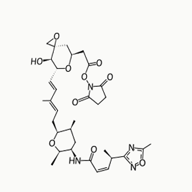 CC(/C=C/[C@H]1O[C@H](CC(=O)ON2C(=O)CCC2=O)C[C@@]2(CO2)[C@@H]1O)=C\C[C@@H]1O[C@H](C)[C@H](NC(=O)/C=C\[C@@H](C)c2noc(C)n2)C[C@@H]1C